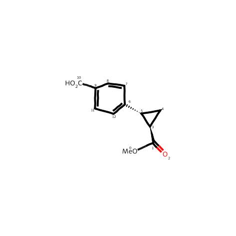 COC(=O)[C@@H]1C[C@H]1c1ccc(C(=O)O)cc1